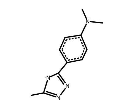 CC1=NN=C(c2ccc(N(C)C)cc2)[N]1